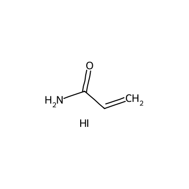 C=CC(N)=O.I